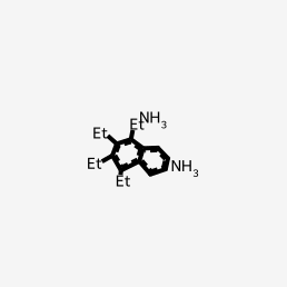 CCc1c(CC)c(CC)c2ccccc2c1CC.N.N